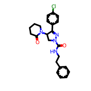 O=C(NCCc1ccccc1)N1CC(N2CCCCC2=O)C(c2ccc(Cl)cc2)=N1